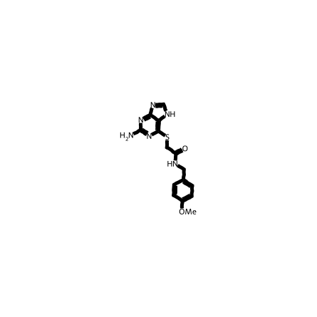 COc1ccc(CNC(=O)CSc2nc(N)nc3nc[nH]c23)cc1